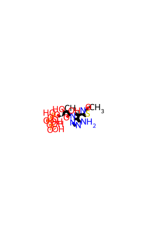 COc1nc(-c2cn([C@@H]3O[C@H](COP(=O)(O)OP(=O)(O)OP(=O)(O)O)[C@@H](O)[C@@]3(C)O)c3ncnc(N)c23)cs1